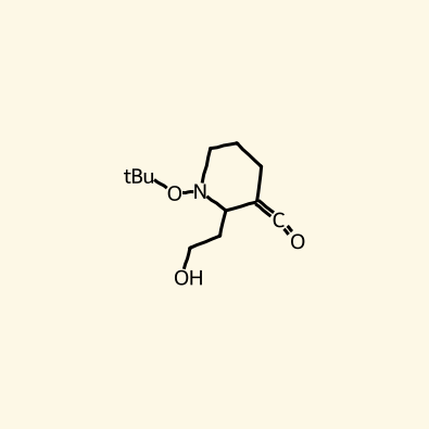 CC(C)(C)ON1CCCC(=C=O)C1CCO